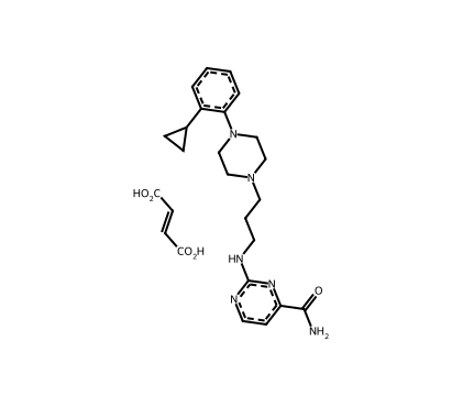 NC(=O)c1ccnc(NCCCN2CCN(c3ccccc3C3CC3)CC2)n1.O=C(O)C=CC(=O)O